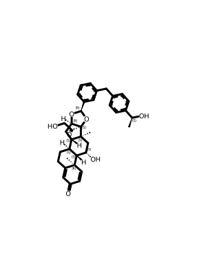 C[C@H](O)c1ccc(Cc2cccc([C@@H]3O[C@@H]4C[C@H]5[C@@H]6CCC7=CC(=O)C=C[C@]7(C)[C@H]6[C@@H](O)C[C@]5(C)[C@]4(C(=O)CO)O3)c2)cc1